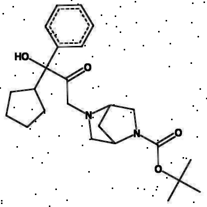 CC(C)(C)OC(=O)N1CC2CC1CN2CC(=O)C(O)(c1ccccc1)C1CCCC1